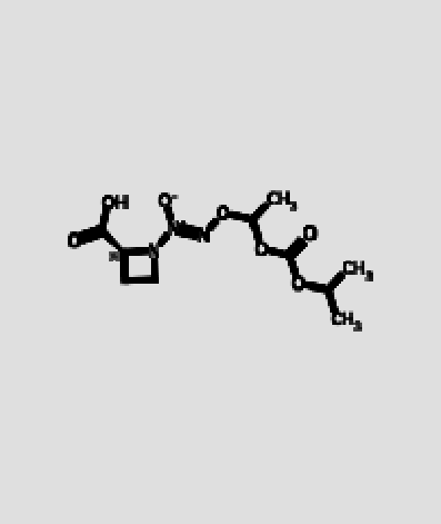 CC(C)OC(=O)OC(C)ON=[N+]([O-])N1CC[C@H]1C(=O)O